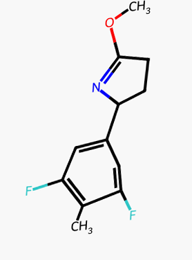 COC1=NC(c2cc(F)c(C)c(F)c2)CC1